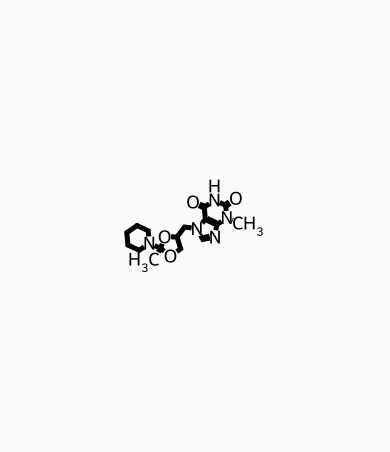 Cn1c(=O)[nH]c(=O)c2c1ncn2CC1COC(C)(N2CCCCC2)O1